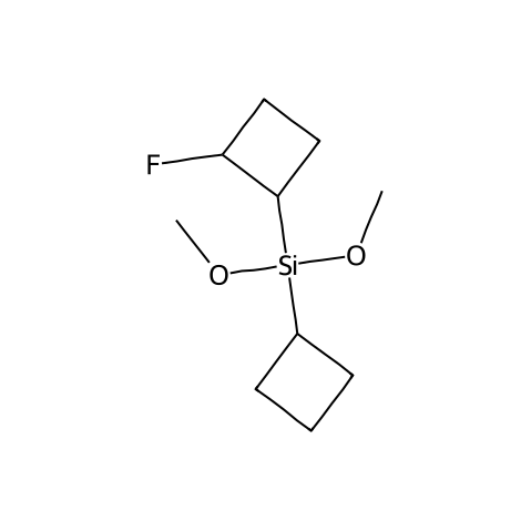 CO[Si](OC)(C1CCC1)C1CCC1F